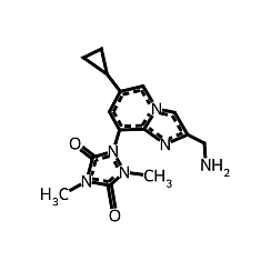 Cn1c(=O)n(C)n(-c2cc(C3CC3)cn3cc(CN)nc23)c1=O